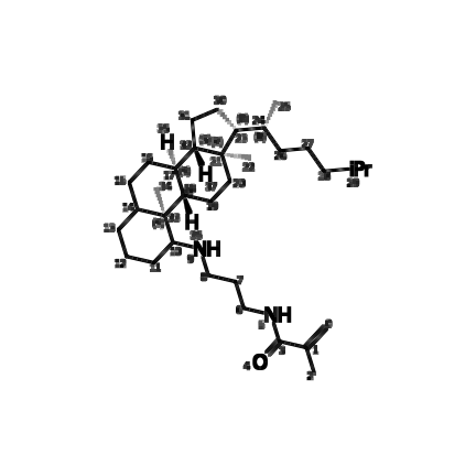 C=C(C)C(=O)NCCCNC1CCCC2CC[C@@H]3[C@H](CC[C@]4(C)[C@@H]([C@H](C)CCCC(C)C)CC[C@@H]34)[C@]21C